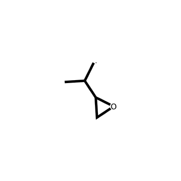 [CH2]C(C)C1CO1